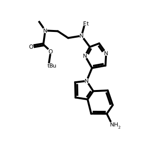 CCN(CCN(C)C(=O)OC(C)(C)C)c1cncc(-n2ccc3cc(N)ccc32)n1